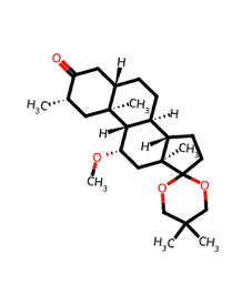 CO[C@H]1C[C@@]2(C)[C@@H](CCC23OCC(C)(C)CO3)[C@@H]2CC[C@H]3CC(=O)[C@@H](C)C[C@]3(C)[C@H]21